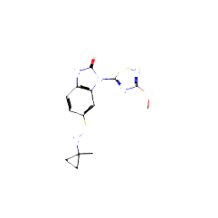 COc1nsc(-n2c(=O)[nH]c3ccc(SNC4(C)CC4)cc32)n1